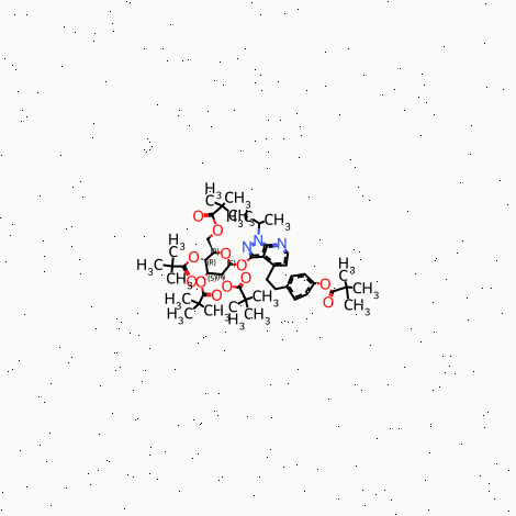 CC(C)n1nc(O[C@@H]2O[C@H](COC(=O)C(C)(C)C)[C@@H](OC(=O)C(C)(C)C)[C@H](OC(=O)C(C)(C)C)[C@H]2OC(=O)C(C)(C)C)c2c(CCc3ccc(OC(=O)C(C)(C)C)cc3)ccnc21